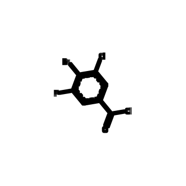 O=C(Cl)c1cc(F)c(Br)c(Cl)c1